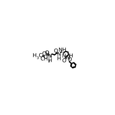 CC(C)(C)OC(=O)NCCC(=O)NC(=N)[C@@H]1CC[C@@H]2CN1C(=O)N2OCc1ccccc1